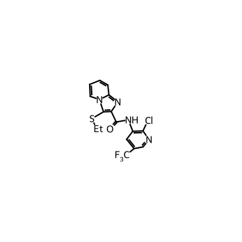 CCSc1c(C(=O)Nc2cc(C(F)(F)F)cnc2Cl)nc2ccccn12